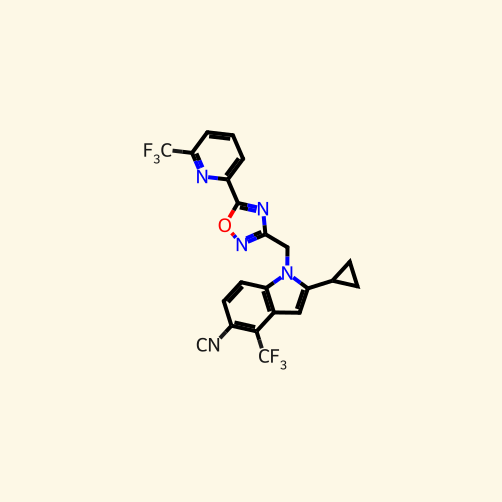 [C-]#[N+]c1ccc2c(cc(C3CC3)n2Cc2noc(-c3cccc(C(F)(F)F)n3)n2)c1C(F)(F)F